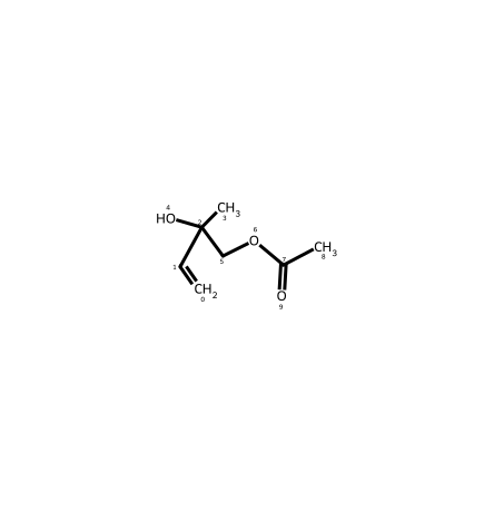 C=CC(C)(O)COC(C)=O